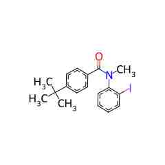 CN(C(=O)c1ccc(C(C)(C)C)cc1)c1ccccc1I